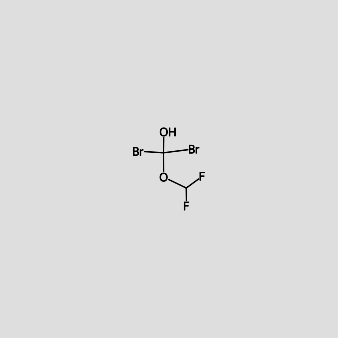 OC(Br)(Br)OC(F)F